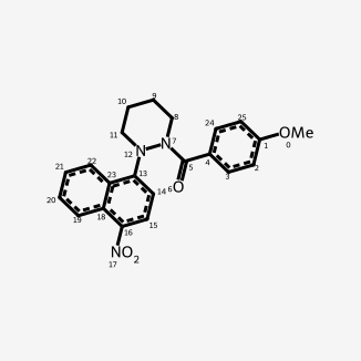 COc1ccc(C(=O)N2CCCCN2c2ccc([N+](=O)[O-])c3ccccc23)cc1